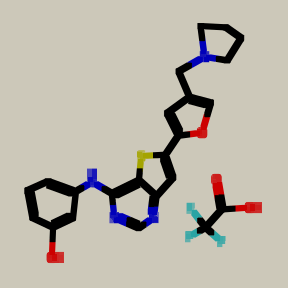 O=C(O)C(F)(F)F.Oc1cccc(Nc2ncnc3cc(-c4cc(CN5CCCC5)co4)sc23)c1